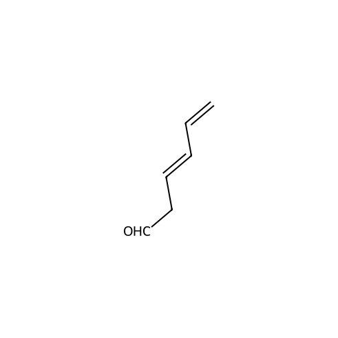 C=C/C=C/CC=O